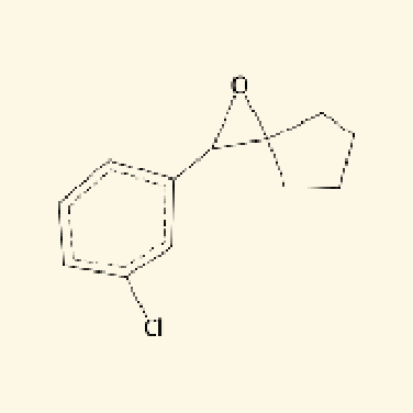 Clc1cccc(C2OC23CCCC3)c1